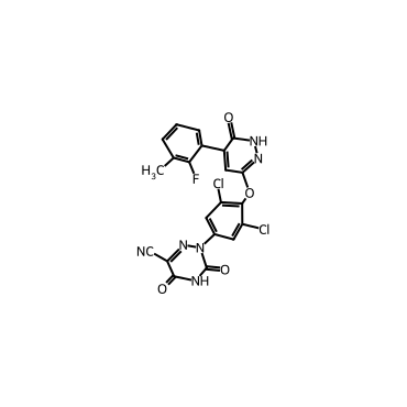 Cc1cccc(-c2cc(Oc3c(Cl)cc(-n4nc(C#N)c(=O)[nH]c4=O)cc3Cl)n[nH]c2=O)c1F